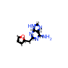 Nc1nc(Cc2ccco2)nc2[nH]cnc12